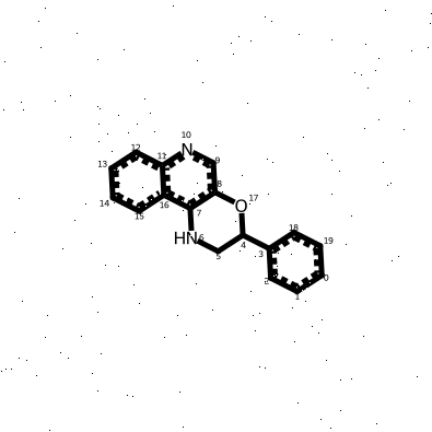 c1ccc(C2CNc3c(cnc4ccccc34)O2)cc1